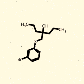 CCCC(O)(CCC)CSc1cccc(Br)c1